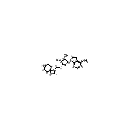 Nc1ncnc2c1ccn2[C@@H]1O[C@H](CCN2CCC23CCNCC3)[C@@H](O)[C@H]1O